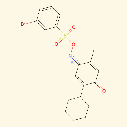 CC1=CC(=O)C(C2CCCCC2)=C/C1=N/OS(=O)(=O)c1cccc(Br)c1